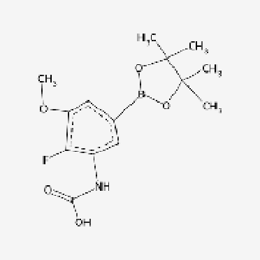 COc1cc(B2OC(C)(C)C(C)(C)O2)cc(NC(=O)O)c1F